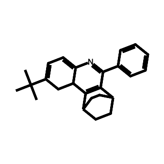 CC(C)(C)C1=CC=C2N=C(c3ccccc3)C3=C(C4CCC3CC4)C2C1